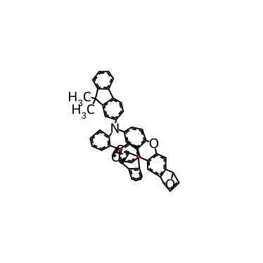 CC1(C)c2ccccc2-c2ccc(N(c3ccc4c(c3)C3(c5cc6c(cc5O4)C4C=CC6O4)c4ccccc4-c4ccccc43)c3ccccc3-c3ccccc3)cc21